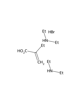 Br.C=C(CC)C(=O)O.CCNCC.CCNCC